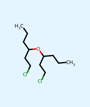 CCCC(CCCl)OC(CCC)CCCl